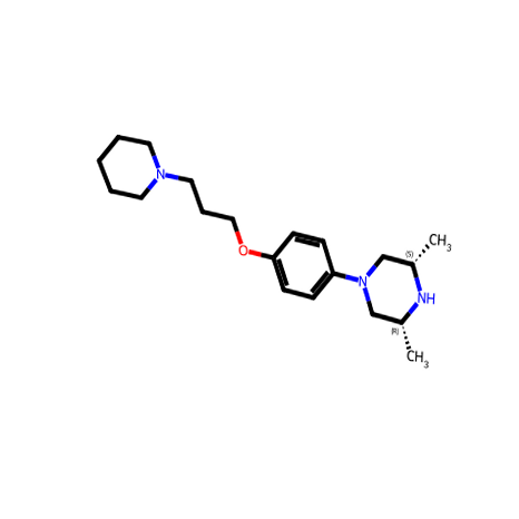 C[C@@H]1CN(c2ccc(OCCCN3CCCCC3)cc2)C[C@H](C)N1